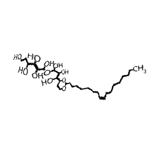 CCCCCCCC/C=C\CCCCCCCC1OCCC(C(O)C(O)C(O)OC(O)/C(O)=C(\O)C(O)CCO)O1